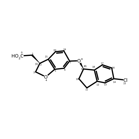 O=C(O)C[C@@H]1COc2cc(O[C@@H]3CCc4cc(Cl)ccc43)ccc21